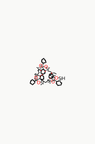 CCC(C)(CC[Si](C)(C)O[Si](O[Si](C)(C)CC[Si](C)(C)O[Si](O[Si]1(C)CC1CC[Si](C)(C)O[Si](O[SiH](C)C)(c1ccccc1)c1ccccc1)(c1ccccc1)c1ccccc1)(c1ccccc1)c1ccccc1)[Si](C)(C)C